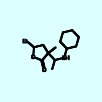 CCC1CC(C)(C(C)NC2CCCCC2)C(=O)O1